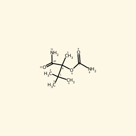 CC(C)(C)C(C)(OC(N)=O)C(N)=O